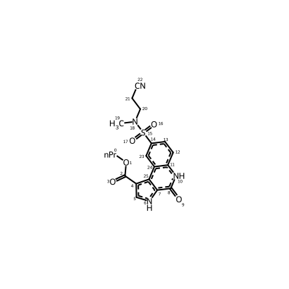 CCCOC(=O)c1c[nH]c2c(=O)[nH]c3ccc(S(=O)(=O)N(C)CCC#N)cc3c12